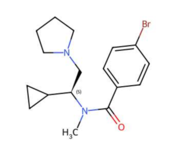 CN(C(=O)c1ccc(Br)cc1)[C@H](CN1CCCC1)C1CC1